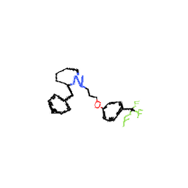 FC(F)(F)c1ccc(OCCCN2CCCCC2Cc2ccccc2)cc1